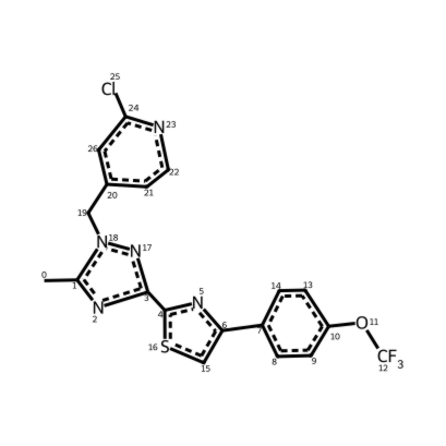 Cc1nc(-c2nc(-c3ccc(OC(F)(F)F)cc3)cs2)nn1Cc1ccnc(Cl)c1